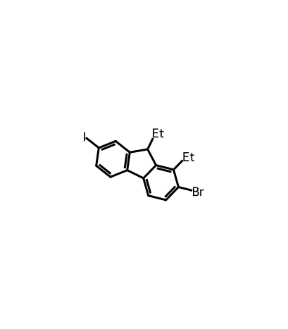 CCc1c(Br)ccc2c1C(CC)c1cc(I)ccc1-2